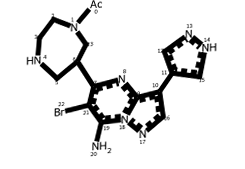 CC(=O)N1CCNCC(c2nc3c(-c4cn[nH]c4)cnn3c(N)c2Br)C1